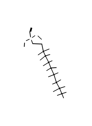 CO[Si](C=O)(CCC(F)(F)C(F)(F)C(F)(F)C(F)(F)C(F)(F)C(F)(F)C(F)(F)C(F)(F)F)OC